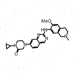 COc1cc2c(cc1Nc1ncc3ccc(N4CCN(C5CC5)C(=O)C4)cc3n1)CN(C)CC2